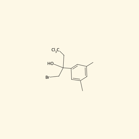 Cc1cc(C)cc(C(O)(CBr)CC(Cl)(Cl)Cl)c1